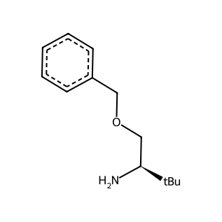 CC(C)(C)[C@@H](N)COCc1ccccc1